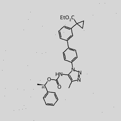 CCOC(=O)C1(c2cccc(-c3ccc(-n4nnc(C)c4NC(=O)O[C@H](C)c4ccccc4)cc3)c2)CC1